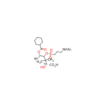 CC(=O)NCCCS(=O)(=O)OC(C(OC(=O)C1CCCCC1)C(C)C)C(C)(C)[C@@H](O)C(=O)O